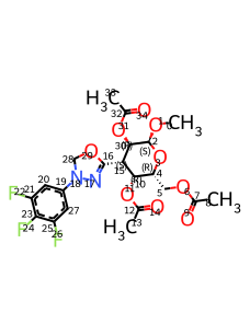 CO[C@H]1O[C@H](COC(C)=O)[C@H](OC(C)=O)[C@H](C2=NN(c3cc(F)c(F)c(F)c3)CO2)[C@H]1OC(C)=O